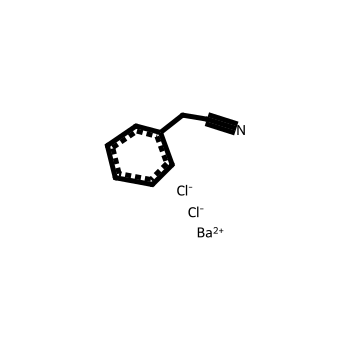 N#CCc1ccccc1.[Ba+2].[Cl-].[Cl-]